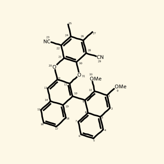 COc1cc2ccccc2c(-c2c3c(cc4ccccc24)Oc2c(C#N)c(C)c(C)c(C#N)c2O3)c1OC